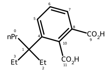 CCCC(CC)(CC)c1cccc(C(=O)O)c1C(=O)O